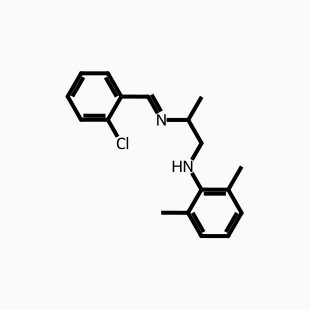 Cc1cccc(C)c1NCC(C)N=Cc1ccccc1Cl